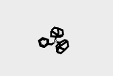 c1ccc(CP(C23CC4CC(CC(C4)C2)C3)C23CC4CC(CC(C4)C2)C3)cc1